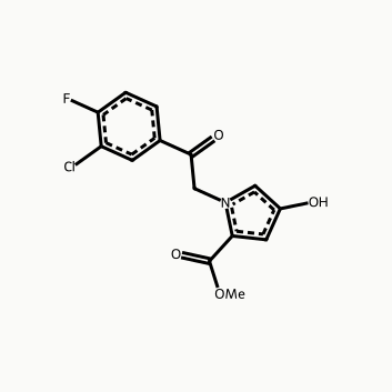 COC(=O)c1cc(O)cn1CC(=O)c1ccc(F)c(Cl)c1